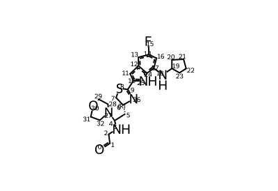 O=CCNC(C[C@@H]1CSC(c2cc3cc(F)cc(NC4CCCC4)c3[nH]2)=N1)N1CCOCC1